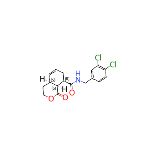 O=C1OCC[C@H]2C=CC[C@@H](C(=O)NCc3ccc(Cl)c(Cl)c3)[C@@H]12